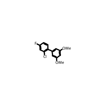 COc1cc(OC)cc(-c2[c]cc(F)cc2Cl)c1